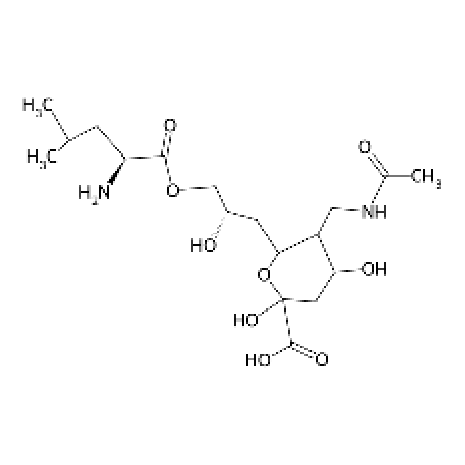 CC(=O)NCC1C(O)CC(O)(C(=O)O)OC1C[C@H](O)COC(=O)[C@@H](N)CC(C)C